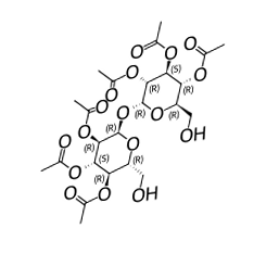 CC(=O)O[C@@H]1[C@@H](OC(C)=O)[C@@H](O[C@H]2O[C@H](CO)[C@@H](OC(C)=O)[C@H](OC(C)=O)[C@H]2OC(C)=O)O[C@H](CO)[C@H]1OC(C)=O